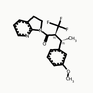 COc1cccc([C@@H](C)[C@@H](C(=O)N2CCc3cccnc32)C(F)(F)F)c1